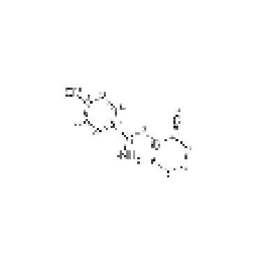 NC(CN1CCCCC1=O)c1ccc(Cl)cc1